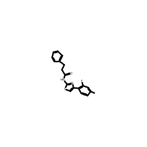 Cc1ccc(-c2csc(NC(=O)CCc3ccccc3)n2)c(F)c1